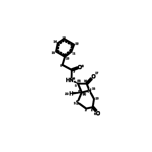 O=C1CS[C@@H]2[C@H](NC(=O)Cc3ccccc3)C(=O)N2C1